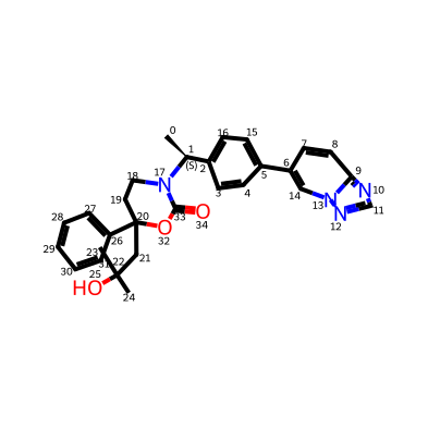 C[C@@H](c1ccc(-c2ccc3ncnn3c2)cc1)N1CCC(CC(C)(C)O)(c2ccccc2)OC1=O